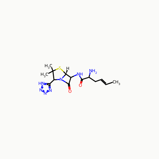 C/C=C/CC(N)C(=O)NC1C(=O)N2C(c3nnn[nH]3)C(C)(C)S[C@H]12